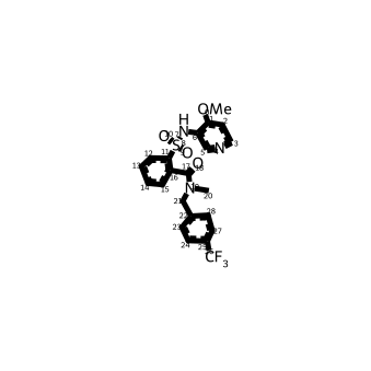 COc1ccncc1NS(=O)(=O)c1ccccc1C(=O)N(C)Cc1ccc(C(F)(F)F)cc1